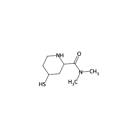 CN(C)C(=O)C1CC(S)CCN1